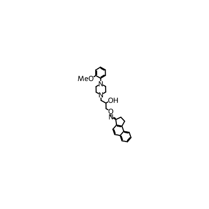 COc1ccccc1N1CCN(CC(O)CON=C2CCc3c2ccc2ccccc32)CC1